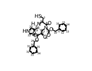 N[C@@H](CS)C(=O)N(C(=O)OCc1ccccc1)[C@@H](Cc1c[nH]cn1)C(=O)C(=O)OCc1ccccc1